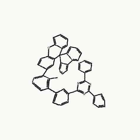 Cc1c(-c2cccc(-c3nc(-c4ccccc4)nc(-c4ccccc4)n3)c2)cccc1-c1ccc2c(c1)C1(c3ccccc3O2)c2ccccc2-c2ccccc21